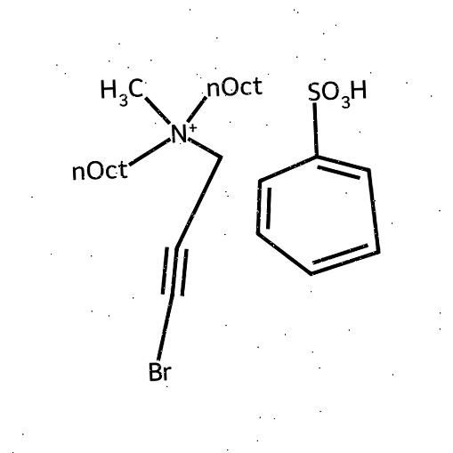 CCCCCCCC[N+](C)(CC#CBr)CCCCCCCC.O=S(=O)(O)c1ccccc1